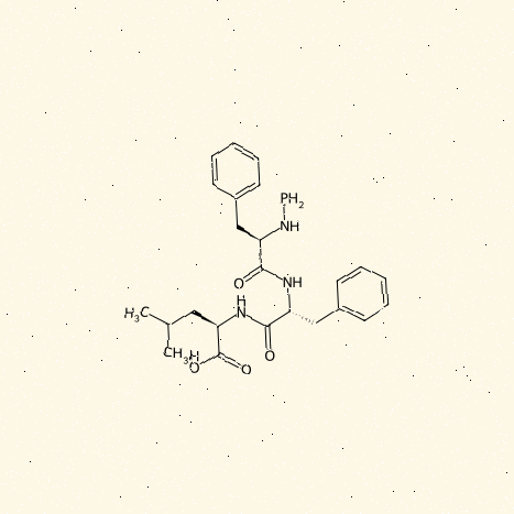 CC(C)C[C@@H](NC(=O)[C@@H](Cc1ccccc1)NC(=O)[C@@H](Cc1ccccc1)NP)C(=O)O